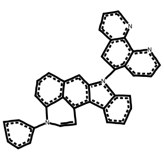 C1=CN(c2ccccc2)c2cccc3cc4c(c1c23)c1ccccc1n4-c1cc2cccnc2c2ncccc12